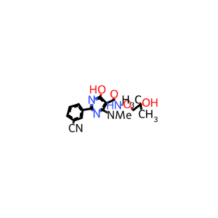 CNc1nc(-c2cccc(C#N)c2)nc(O)c1C(=O)NOCC(C)(C)O